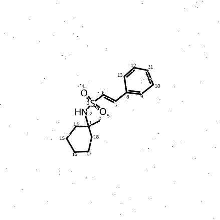 CC1(NS(=O)(=O)C=Cc2ccccc2)CCCCC1